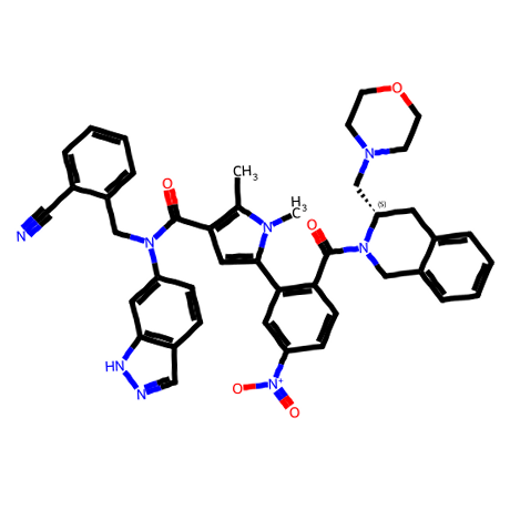 Cc1c(C(=O)N(Cc2ccccc2C#N)c2ccc3cn[nH]c3c2)cc(-c2cc([N+](=O)[O-])ccc2C(=O)N2Cc3ccccc3C[C@H]2CN2CCOCC2)n1C